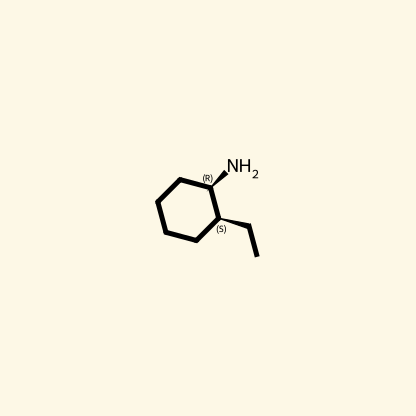 CC[C@H]1CCCC[C@H]1N